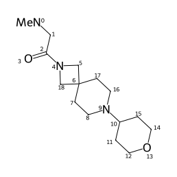 CNCC(=O)N1CC2(CCN(C3CCOCC3)CC2)C1